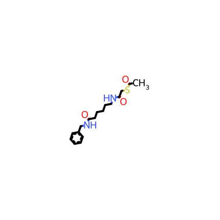 CC(=O)SCC(=O)NCCCCCC(=O)NCc1ccccc1